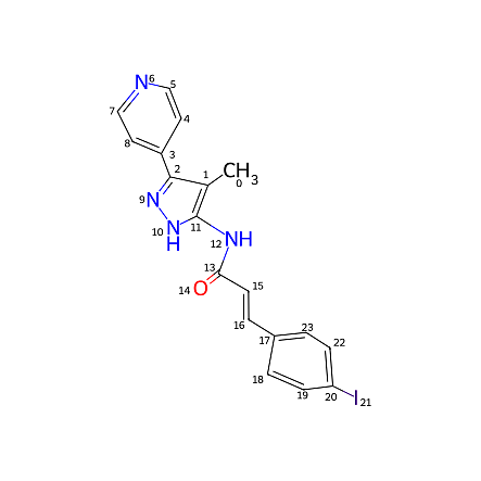 Cc1c(-c2ccncc2)n[nH]c1NC(=O)C=Cc1ccc(I)cc1